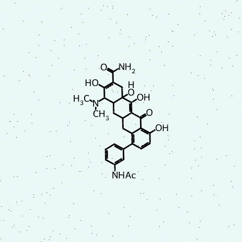 CC(=O)Nc1cccc(-c2ccc(O)c3c2CC2CC4C(N(C)C)C(O)=C(C(N)=O)CC4(O)C(O)=C2C3=O)c1